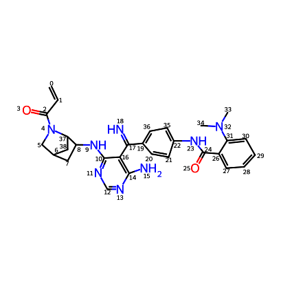 C=CC(=O)N1CC2CC(Nc3ncnc(N)c3C(=N)c3ccc(NC(=O)c4ccccc4N(C)C)cc3)C1C2